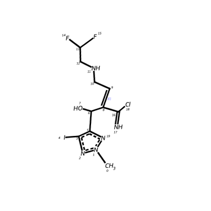 Cn1nc(I)c(C(O)/C(=C\CNCC(F)F)C(=N)Cl)n1